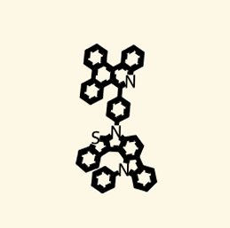 c1ccc(-n2c3ccccc3c3ccc4c(c5c6ccccc6sc5n4-c4ccc(-c5nc6ccccc6c6c7ccccc7c7ccccc7c56)cc4)c32)cc1